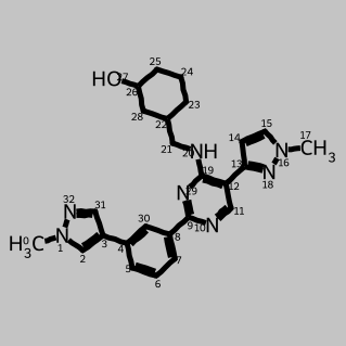 Cn1cc(-c2cccc(-c3ncc(-c4ccn(C)n4)c(NCC4CCCC(O)C4)n3)c2)cn1